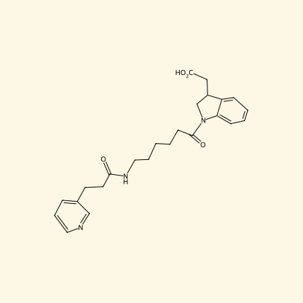 O=C(O)CC1CN(C(=O)CCCCCNC(=O)CCc2cccnc2)c2ccccc21